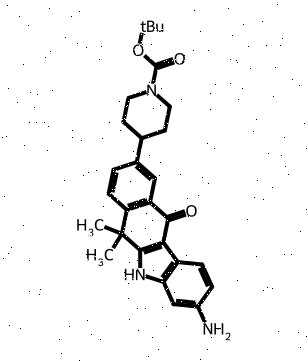 CC(C)(C)OC(=O)N1CCC(c2ccc3c(c2)C(=O)c2c([nH]c4cc(N)ccc24)C3(C)C)CC1